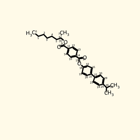 CCCCCC[C@H](C)OC(=O)c1ccc(C(=O)Oc2ccc(-c3ccc(C(C)C)cc3)cc2)cc1